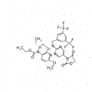 CCOC(=O)N1c2ccc(OC)nc2[C@@H](N(Cc2cc(C(F)(F)F)cc(C(F)(F)F)c2)c2ncc(N3C(=O)COC3=O)cn2)C[C@H]1CC